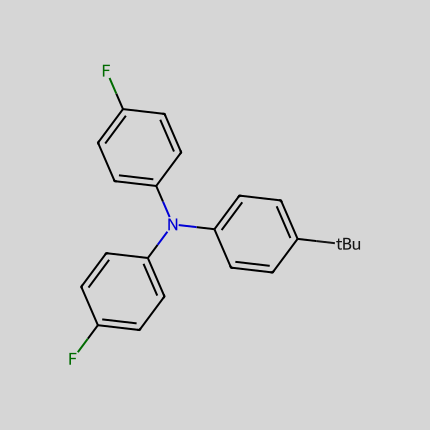 CC(C)(C)c1ccc(N(c2ccc(F)cc2)c2ccc(F)cc2)cc1